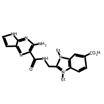 CCn1c(CNC(=O)c2nc3cc[nH]c3nc2N)[n+](CC)c2ccc(C(=O)O)cc21